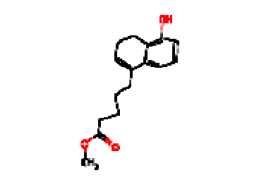 COC(=O)CCCCC1=CCCc2c(O)cccc21